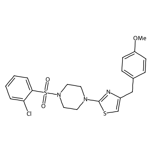 COc1ccc(Cc2csc(N3CCN(S(=O)(=O)c4ccccc4Cl)CC3)n2)cc1